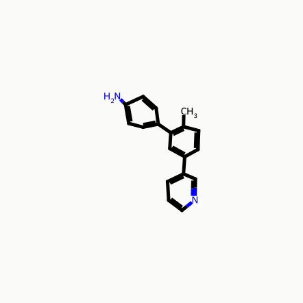 Cc1ccc(-c2cccnc2)cc1-c1ccc(N)cc1